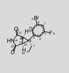 CC[C@@]1(c2cc(F)cc(Br)c2)[C@@H]2C(=O)NC(=O)[C@@H]21